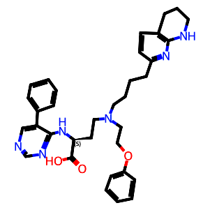 O=C(O)[C@H](CCN(CCCCc1ccc2c(n1)NCCC2)CCOc1ccccc1)Nc1ncncc1-c1ccccc1